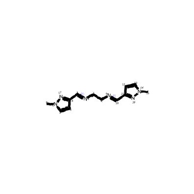 Cn1ccc(/C=N/CC/N=C/c2ccn(C)n2)n1